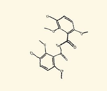 COc1ccc(Cl)c(OC)c1C(=O)[Se]C(=O)c1c(OC)ccc(Cl)c1OC